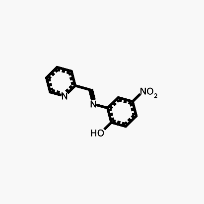 O=[N+]([O-])c1ccc(O)c(/N=C/c2ccccn2)c1